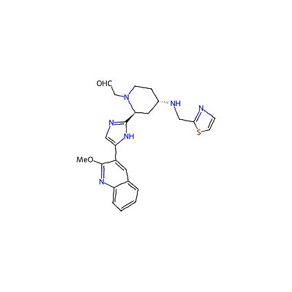 COc1nc2ccccc2cc1-c1cnc([C@@H]2C[C@@H](NCc3nccs3)CCN2CC=O)[nH]1